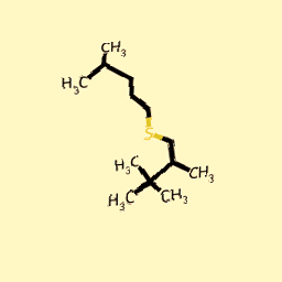 CC(C)CCCSCC(C)C(C)(C)C